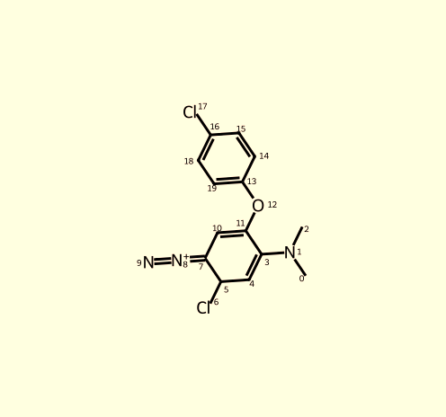 CN(C)C1=CC(Cl)C(=[N+]=[N-])C=C1Oc1ccc(Cl)cc1